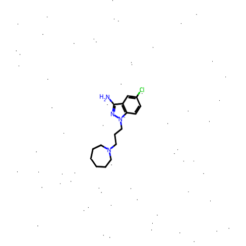 Nc1nn(CCCN2CCCCCC2)c2ccc(Cl)cc12